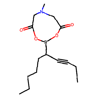 CCC#CC(CCCCC)B1OC(=O)CN(C)CC(=O)O1